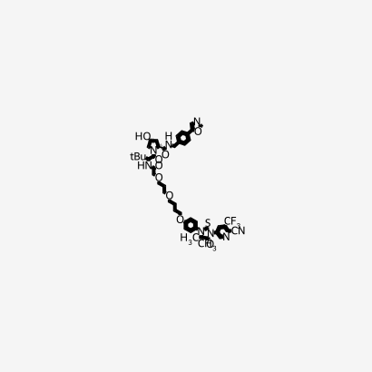 CC(C)(C)C(NC(=O)COCCCOCCCCOc1ccc(N2C(=S)N(c3cnc(C#N)c(C(F)(F)F)c3)C(=O)C2(C)C)cc1)C(=O)N1C[C@H](O)C[C@H]1C(=O)NCc1ccc(-c2cnco2)cc1